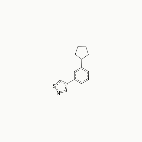 c1cc(-c2cnsc2)cc(C2CCCC2)c1